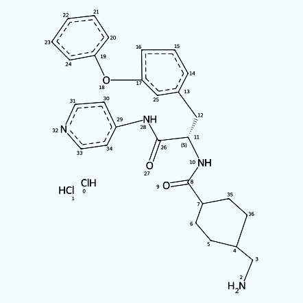 Cl.Cl.NCC1CCC(C(=O)N[C@@H](Cc2cccc(Oc3ccccc3)c2)C(=O)Nc2ccncc2)CC1